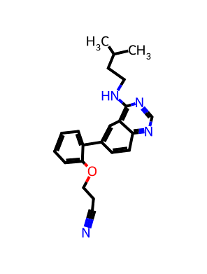 CC(C)CCNc1ncnc2ccc(-c3ccccc3OCCC#N)cc12